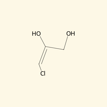 OC/C(O)=C\Cl